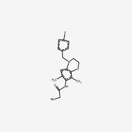 Cc1cc2c(c(C)c1NC(=O)CC(C)(C)C)OCCN2Cc1ccc(F)cc1